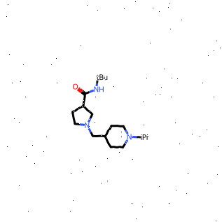 CC(C)N1CCC(CN2CCC(C(=O)NC(C)(C)C)C2)CC1